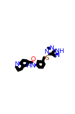 O=C(Nc1cccc(CSc2ncnc3[nH]ncc23)c1)c1ccc2ncccc2c1